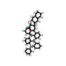 c1ccc(N2c3ccccc3B3c4cccc(-c5ccc6oc7cc8ccccc8cc7c6c5)c4N(c4ccccc4)c4cccc2c43)cc1